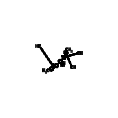 C#CC#CC#CC#CC#CC#Cn1c2cc(C)ccc2c2ccc(-c3ccc(-c4cc5c(s4)-c4sc(C)cc4[Si]5(C#CC#CC#C)C#CC#CC#C)c4nsnc34)cc21